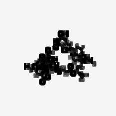 C=C1/C(=C\C=C2/CCC[C@@]3(C)C2CCC3[C@@H](C)/C=C/C(OC(=O)CCSSCCC(=O)O[C@@H]([C@@]23C[C@@]4(C)CCC5=C(COC5=O)C4C[C@@H]2O3)[C@@](O)(C[C@H]2CO2)C(C)C)C2CC2)C[C@@H](O)C[C@@H]1O